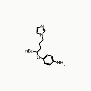 CCCCC(CCCn1ccnc1)Oc1ccc(N)cc1